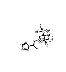 CC(COCC(N)(P(=O)(O)O)P(=O)(O)O)n1ccnc1